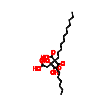 CCCCCCCCCCCCC(C(=O)O)(C(=O)CCCCCCC)C(O)(CC(=O)O)C(=O)O